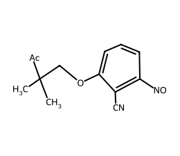 CC(=O)C(C)(C)COc1cccc(N=O)c1C#N